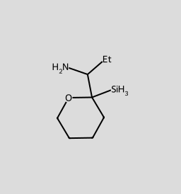 [CH2]CC(N)C1([SiH3])CCCCO1